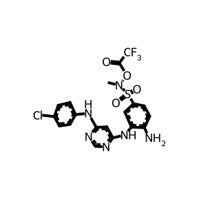 CN(OC(=O)C(F)(F)F)S(=O)(=O)c1ccc(N)c(Nc2cc(Nc3ccc(Cl)cc3)ncn2)c1